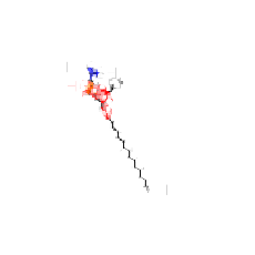 CCCCCCCCCCCCCCCCOCC(COP(=O)(O)CCN(C)C)OC(=O)CC